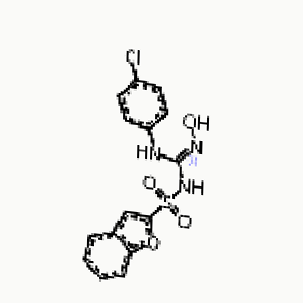 O=S(=O)(N/C(=N/O)Nc1ccc(Cl)cc1)c1cc2ccccc2o1